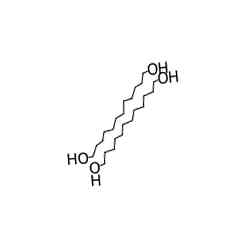 OCCCCCCCCCCCCO.OCCCCCCCCCCCCO